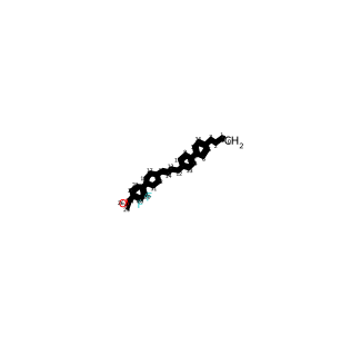 C=CCCc1ccc(-c2ccc(CC/C=C/C3CCC(c4ccc(C5CO5)c(F)c4F)CC3)cc2)cc1